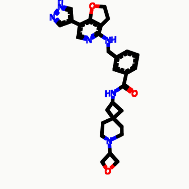 O=C(NC1CC2(CCN(C3COC3)CC2)C1)c1cccc(CNc2ncc(-c3cn[nH]c3)c3c2CCO3)c1